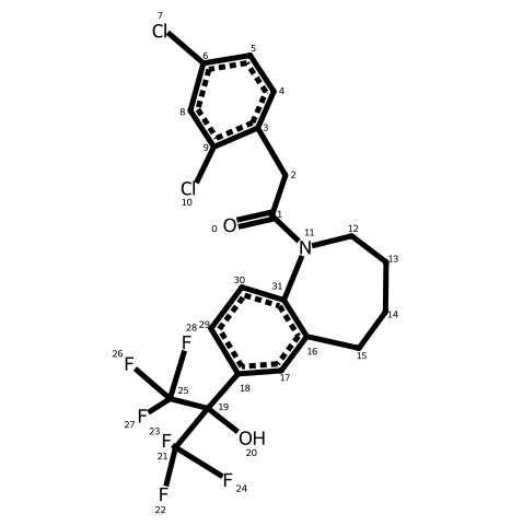 O=C(Cc1ccc(Cl)cc1Cl)N1CCCCc2cc(C(O)(C(F)(F)F)C(F)(F)F)ccc21